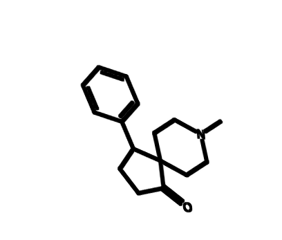 CN1CCC2(CC1)C(=O)CCC2c1ccccc1